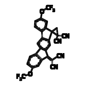 N#CC(C#N)=C1c2cc(OC(F)(F)F)ccc2-c2cc3c(cc21)C1(CC1(C#N)C#N)c1cc(OC(F)(F)F)ccc1-3